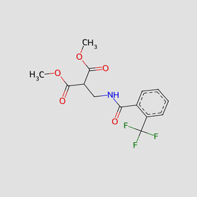 COC(=O)C(CNC(=O)c1ccccc1C(F)(F)F)C(=O)OC